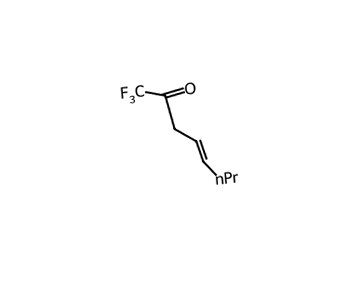 CCC/C=C/CC(=O)C(F)(F)F